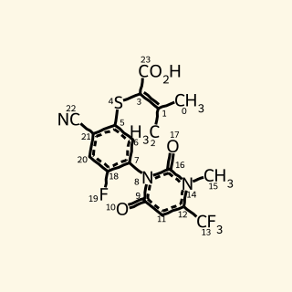 CC(C)=C(Sc1cc(-n2c(=O)cc(C(F)(F)F)n(C)c2=O)c(F)cc1C#N)C(=O)O